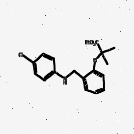 CCOC(=O)C(C)(C)Oc1ccccc1CNc1ccc(Cl)cc1